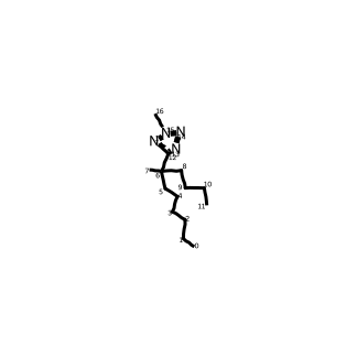 CCCCCCC(C)(CCCC)c1nnn(C)n1